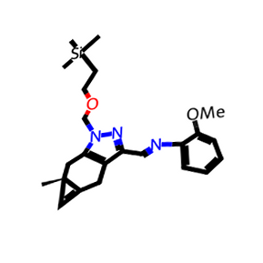 COc1ccccc1/N=C/c1nn(COCC[Si](C)(C)C)c2c1CC1=C[C@]1(C)C2